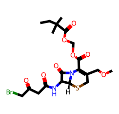 CCC(C)(C)C(=O)OCOC(=O)C1=C(COC)CS[C@@H]2C(NC(=O)CC(=O)CBr)C(=O)N12